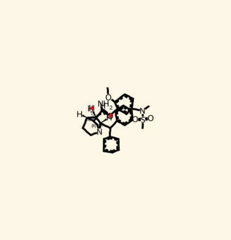 COc1ccc(N(C)S(C)(=O)=O)cc1CN[C@H]1[C@H]2CCN(C[C@@H]2C(N)=O)[C@H]1C(c1ccccc1)c1ccccc1